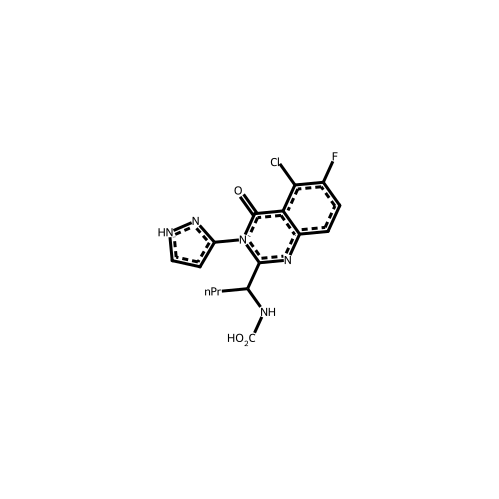 CCCC(NC(=O)O)c1nc2ccc(F)c(Cl)c2c(=O)n1-c1cc[nH]n1